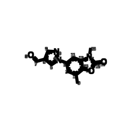 Cc1cc(-n2cc(C=O)cn2)cc2c1oc(=O)n2C